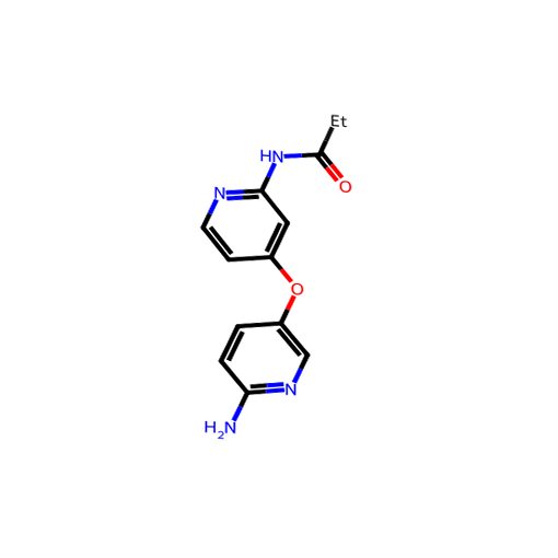 CCC(=O)Nc1cc(Oc2ccc(N)nc2)ccn1